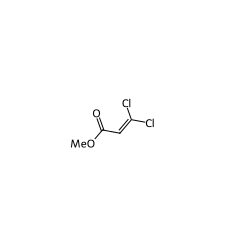 COC(=O)C=C(Cl)Cl